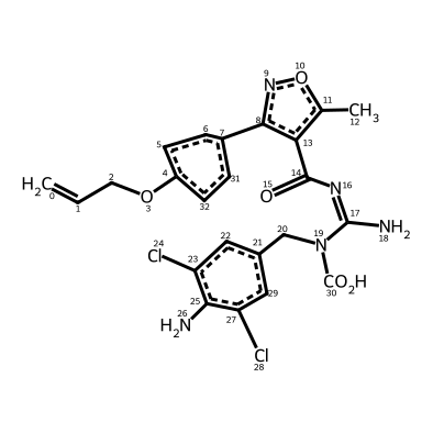 C=CCOc1ccc(-c2noc(C)c2C(=O)N=C(N)N(Cc2cc(Cl)c(N)c(Cl)c2)C(=O)O)cc1